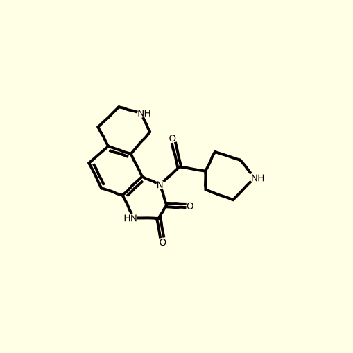 O=C(C1CCNCC1)n1c(=O)c(=O)[nH]c2ccc3c(c21)CNCC3